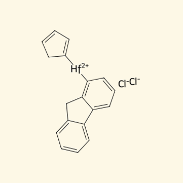 C1=CC[C]([Hf+2][c]2cccc3c2Cc2ccccc2-3)=C1.[Cl-].[Cl-]